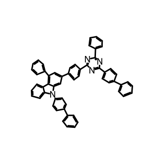 c1ccc(-c2ccc(-c3nc(-c4ccccc4)nc(-c4ccc(-c5cc(-c6ccccc6)c6c7ccccc7n(-c7ccc(-c8ccccc8)cc7)c6c5)cc4)n3)cc2)cc1